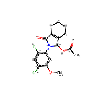 COc1cc(N2C(=O)C3=C(CCCC3)C2OC(C)=O)c(F)cc1Cl